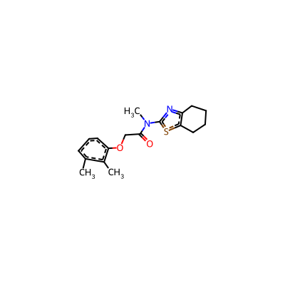 Cc1cccc(OCC(=O)N(C)c2nc3c(s2)CCCC3)c1C